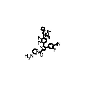 N#Cc1ccc(-c2cc(C(=O)N3CCC[C@@H](N)C3)sc2-c2cc3nnn(CC4(O)CCC4)c3c(F)c2F)cc1F